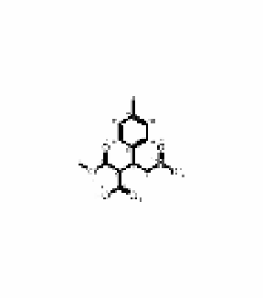 COC(=O)C(C(=O)O)C(C[N+](=O)[O-])c1ccc(C)cc1